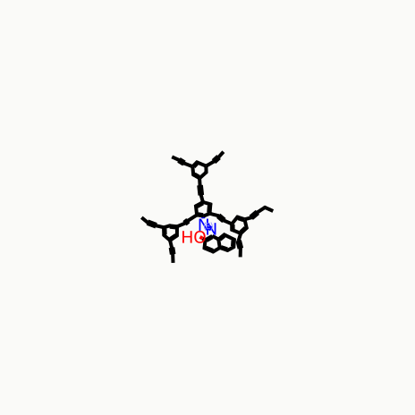 CC#CC1=CC(C#CC)CC(C#Cc2cc(C#Cc3cc(C#CC)cc(C#CC)c3)c(/N=N/c3c(O)ccc4ccccc34)c(C#Cc3cc(C#CC)cc(C#CCC)c3)c2)=C1